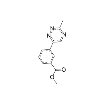 COC(=O)c1cccc(-c2cnc(C)nn2)c1